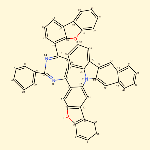 C1=Cc2oc3cc(C4=CCC(c5cccc6c5oc5ccccc56)=NC(c5ccccc5)=N4)c(-n4c5ccccc5c5cc6ccccc6cc54)cc3c2CC1